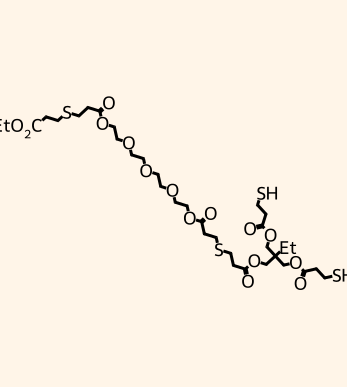 CCOC(=O)CCSCCC(=O)OCCOCCOCCOCCOC(=O)CCSCCC(=O)OCC(CC)(COC(=O)CCS)COC(=O)CCS